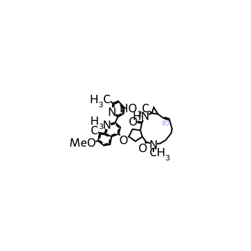 COc1ccc2c(OC3CC4C(=O)NC5(C(=O)O)CC5/C=C/CCCCN(C)C(=O)C4C3)cc(-c3cccc(C)n3)nc2c1C